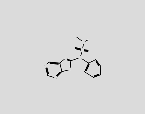 CN(C)S(=O)(=O)N(c1ccccc1)c1nc2cncnc2[nH]1